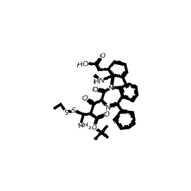 CCSSC(N)C(C(=O)OC(C)(C)C)C(=O)C1N=C(c2ccccc2)c2ccccc2N(C2(NC)C(C)=CC=CC2CC(=O)O)C1=O